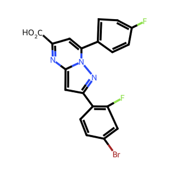 O=C(O)c1cc(-c2ccc(F)cc2)n2nc(-c3ccc(Br)cc3F)cc2n1